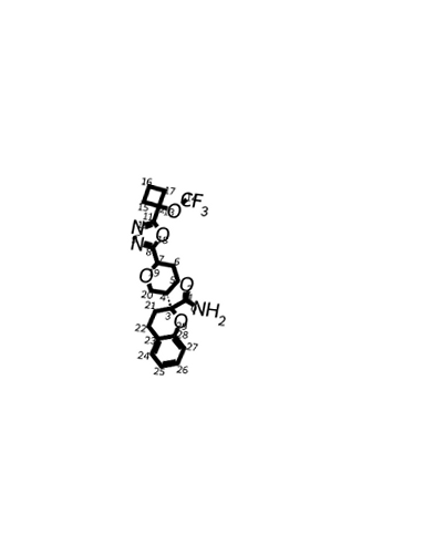 NC(=O)C1([C@H]2CCC(c3nnc(C4(OC(F)(F)F)CCC4)o3)OC2)CCc2ccccc2O1